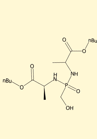 CCCCOC(=O)C(C)NP(=O)(CO)N[C@@H](C)C(=O)OCCCC